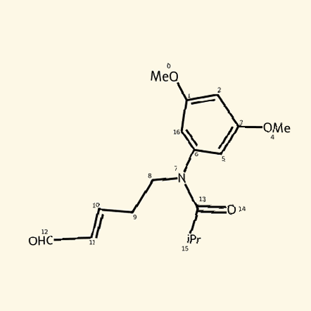 COc1cc(OC)cc(N(CC/C=C/C=O)C(=O)C(C)C)c1